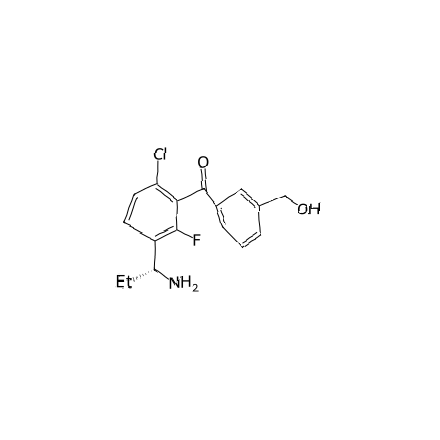 CC[C@@H](N)c1ccc(Cl)c(C(=O)c2cccc(CO)c2)c1F